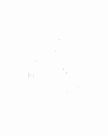 O=C(CBr)C1(Cc2ccccc2)CCN(Cc2ccccc2)CC1